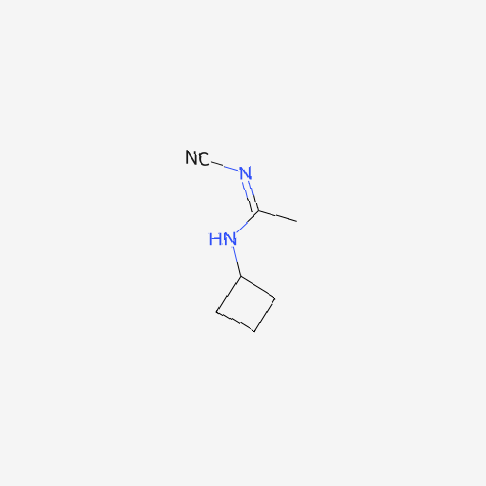 C/C(=N/C#N)NC1CCC1